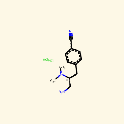 CN(C)[C@H](CN)Cc1ccc(C#N)cc1.Cl.Cl